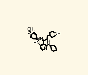 COc1ccc(CNc2ccnc(NC3CCCCC3)c2C(=N)CCC2CCNCC2)cc1